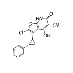 N#Cc1c(O)c2c(C3CC3c3ccccc3)c(Cl)sc2[nH]c1=O